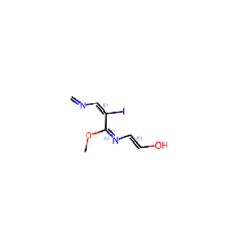 C=N\C=C(I)/C(=N\C=C\O)OC